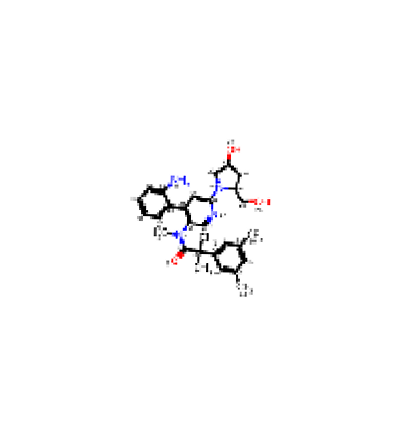 CN(C(=O)C(C)(C)c1cc(C(F)(F)F)cc(C(F)(F)F)c1)c1cnc(N2CC(O)CC2CO)cc1-c1ccccc1N